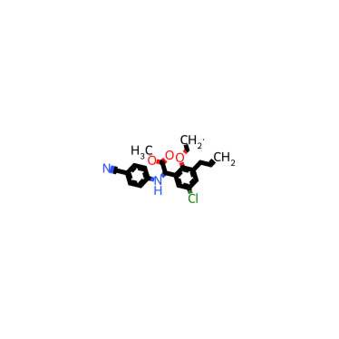 [CH2]COc1c(CC=C)cc(Cl)cc1C(Nc1ccc(C#N)cc1)C(=O)OC